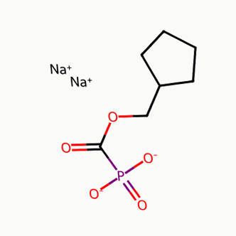 O=C(OCC1CCCC1)P(=O)([O-])[O-].[Na+].[Na+]